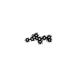 c1ccc(-c2ccc3c(c2)Oc2cccc4c2c-3cc2c3ccccc3c(-c3ccc(-c5cccc6cccnc56)cc3)cc42)cc1